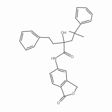 CC(C)(CC(O)(CCc1ccccc1)C(=O)Nc1ccc2c(c1)COC2=O)c1ccccc1